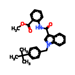 COC(=O)c1ccccc1NC(=O)c1cn(Cc2ccc(C(C)(C)C)cc2)c2ccccc12